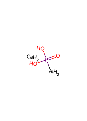 O=[P](O)(O)[AlH2].[CaH2]